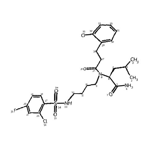 CC(C)C[C@@H](C(N)=O)N(CCCCNS(=O)(=O)c1ccc(F)cc1Cl)C(=O)CCc1ccccc1Cl